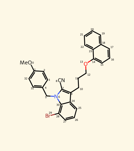 COc1ccc(Cn2c(C#N)c(CCCOc3cccc4ccccc34)c3cccc(Br)c32)cc1